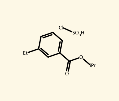 CCc1cccc(C(=O)OC(C)C)c1.O=S(=O)(O)Cl